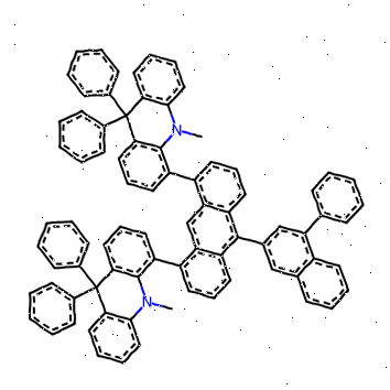 CN1c2ccccc2C(c2ccccc2)(c2ccccc2)c2cccc(-c3cccc4c(-c5cc(-c6ccccc6)c6ccccc6c5)c5cccc(-c6cccc7c6N(C)c6ccccc6C7(c6ccccc6)c6ccccc6)c5cc34)c21